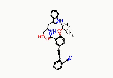 CC(C)Oc1ccc(C#Cc2ccccc2C#N)cc1C(=O)N[C@@H](CO)Cc1c[nH]c2ccccc12